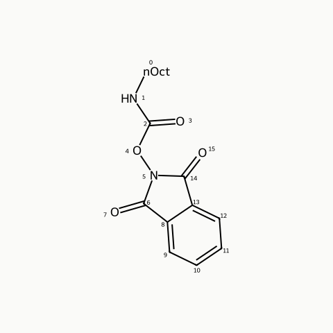 CCCCCCCCNC(=O)ON1C(=O)c2ccccc2C1=O